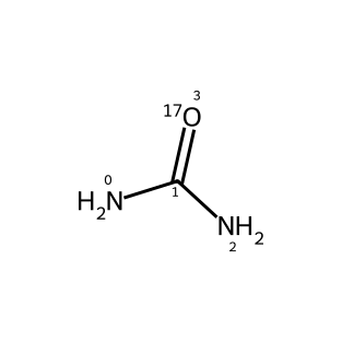 NC(N)=[17O]